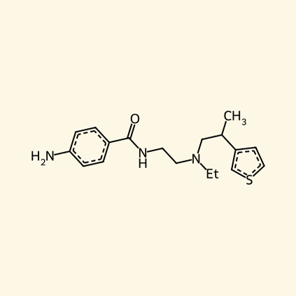 CCN(CCNC(=O)c1ccc(N)cc1)CC(C)c1ccsc1